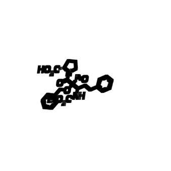 CCOC(=O)NC(CCc1ccccc1)C(OCc1ccccc1)(P=O)C(=O)N1CCC[C@H]1C(=O)O